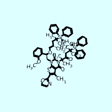 COc1ccccc1[C@H](Cn1c(=O)n(C(C)(C)C(=O)CC(C)(C)[Si](O)(c2ccccc2)c2ccccc2)c(=O)c2c(C)c(-c3ncco3)sc21)OC[C@@H](C)CC(C)(C)[Si](O)(c1ccccc1)c1ccccc1